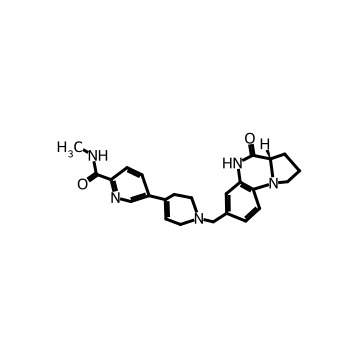 CNC(=O)c1ccc(C2=CCN(Cc3ccc4c(c3)NC(=O)[C@@H]3CCCN43)CC2)cn1